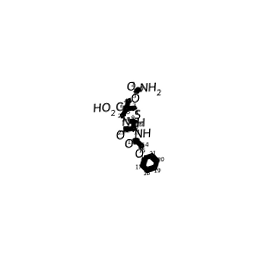 NC(=O)OCC1(C(=O)O)CS[C@@H]2C(NC(=O)COc3ccccc3)C(=O)N2C1